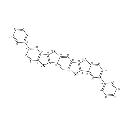 c1ccc(-c2ccc3sc4c5cc6sc7c8cc(-c9ccccc9)ccc8sc7c6cc5sc4c3c2)cc1